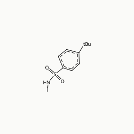 CC(C)(C)c1ccc(S(=O)(=O)NI)cc1